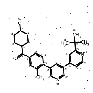 Cc1cc(C(=O)C2CCC(O)CC2)ccc1-c1cncc(-c2ccnc(C(C)(C)C)c2)c1